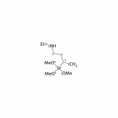 CCNCCC(C)[Si](OC)(OC)OC